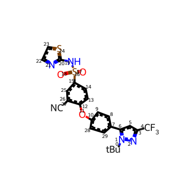 CC(C)(C)n1nc(C(F)(F)F)cc1-c1ccc(Oc2ccc(S(=O)(=O)Nc3nccs3)cc2C#N)cc1